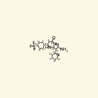 Nc1nn2c(=O)cc(-c3ccc(C(F)(F)F)cc3)[nH]c2c1-c1ccccn1